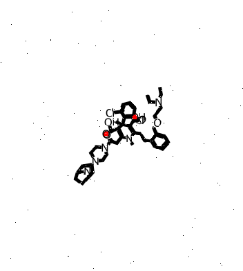 CCN(CC)CCOCc1ccccc1CCC1=C(C(=O)O)C(C)(c2c(Cl)cccc2Cl)C(C(=O)O)=C(CC(=O)N2CCN(C3CC4CCC(C3)N4C)CC2)N1C